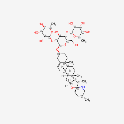 C[C@@H]1CC[C@@]2(NC1)O[C@H]1C[C@H]3[C@@H]4CC=C5C[C@@H](O[C@@H]6O[C@H](CO)[C@@H](O[C@H]7O[C@@H](C)[C@H](O)[C@@H](O)[C@H]7O)[C@H](O)[C@H]6O[C@@H]6O[C@@H](C)[C@H](O)[C@@H](O)[C@H]6O)CC[C@]5(C)[C@H]4CC[C@]3(C)[C@H]1[C@@H]2C